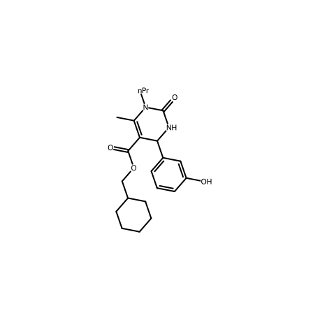 CCCN1C(=O)NC(c2cccc(O)c2)C(C(=O)OCC2CCCCC2)=C1C